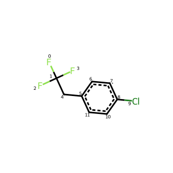 FC(F)(F)Cc1c[c]c(Cl)cc1